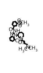 Cc1cccc2nc(NC(=O)c3cccc(S(C)(=O)=O)c3)n(C3CCCCN(C(=O)C=CCN(C)C)C3)c12